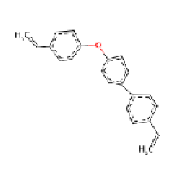 C=Cc1ccc(Oc2ccc(-c3ccc(C=C)cc3)cc2)cc1